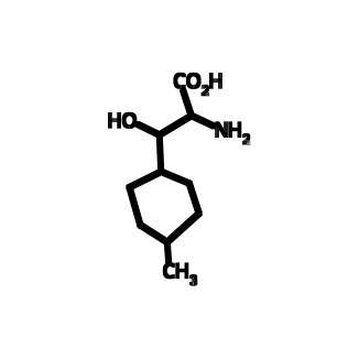 CC1CCC(C(O)C(N)C(=O)O)CC1